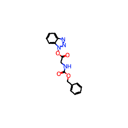 O=C(CNC(=O)OCc1ccccc1)On1nnc2ccccc21